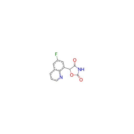 O=C1NC(=O)C(c2cc(F)cc3cccnc23)O1